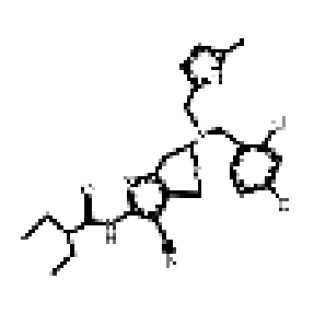 CCC(CC)C(=O)Nc1sc2c(c1C#N)CCC(N(Cc1ccc(C)o1)Cc1ccc(Cl)cc1Cl)C2